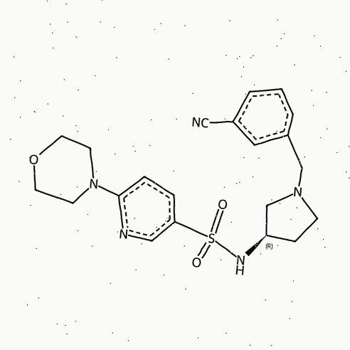 N#Cc1cccc(CN2CC[C@@H](NS(=O)(=O)c3ccc(N4CCOCC4)nc3)C2)c1